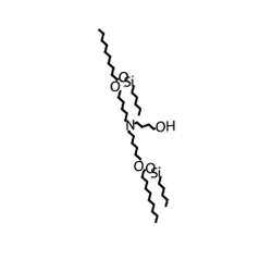 CCCCCCCCCC(OCCCCCCN(CCCCO)CCCCCCOC(CCCCCCCCC)O[Si](C)(C)CCCCCC)O[Si](C)(C)CCCCCC